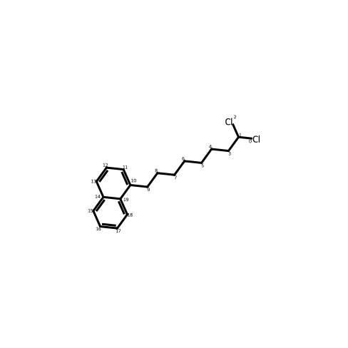 ClC(Cl)CCCCCCCc1cccc2ccccc12